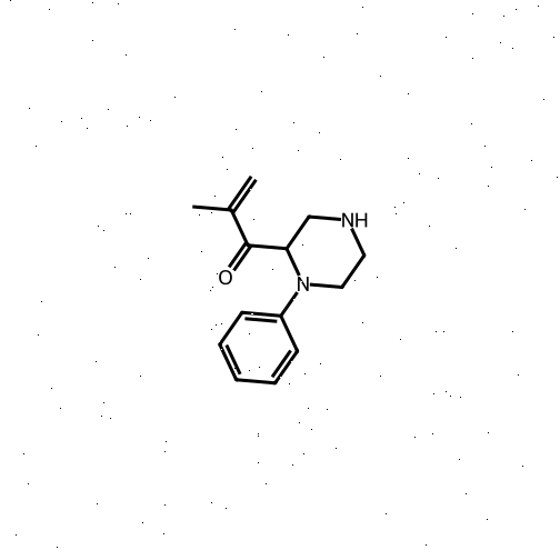 C=C(C)C(=O)C1CNCCN1c1ccccc1